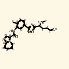 CNC(CCC=O)c1nc(-c2ccc(C)c(NC(=O)c3cnc4ccccn34)c2)no1